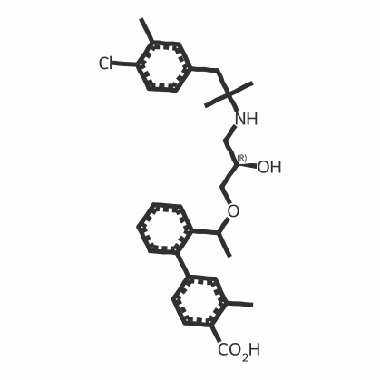 Cc1cc(CC(C)(C)NC[C@@H](O)COC(C)c2ccccc2-c2ccc(C(=O)O)c(C)c2)ccc1Cl